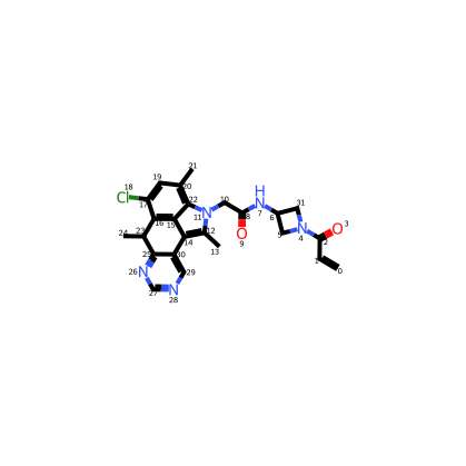 C=CC(=O)N1CC(NC(=O)Cn2c(C)c3c4c(c(Cl)cc(C)c42)C(C)c2ncncc2-3)C1